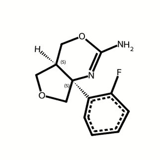 NC1=N[C@@]2(c3ccccc3F)COC[C@H]2CO1